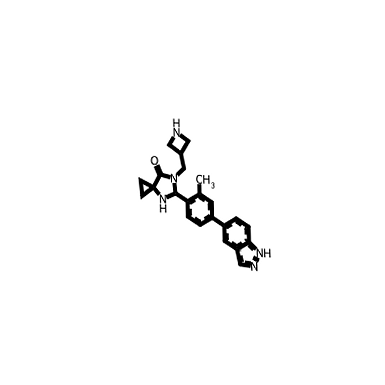 Cc1cc(-c2ccc3[nH]ncc3c2)ccc1C1NC2(CC2)C(=O)N1CC1CNC1